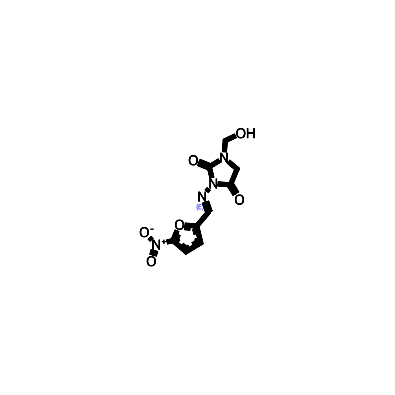 O=C1CN(CO)C(=O)N1/N=C/c1ccc([N+](=O)[O-])o1